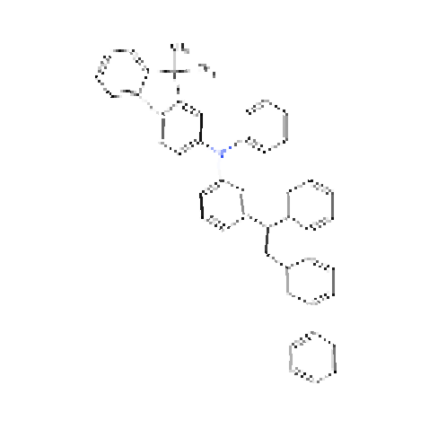 CC1(C)c2ccccc2-c2ccc(N(c3ccccc3)c3cccc(-c4cc5cc(-c6ccccc6)ccc5c5ccccc45)c3)cc21